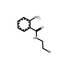 O=C(NCCBr)c1ccccc1[N+](=O)[O-]